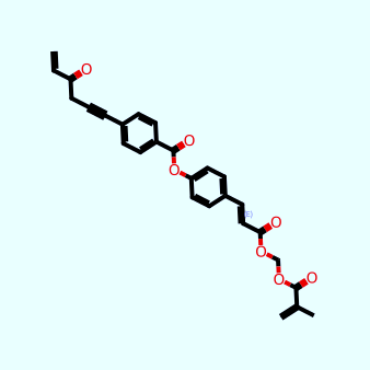 C=CC(=O)CC#Cc1ccc(C(=O)Oc2ccc(/C=C/C(=O)OCOC(=O)C(=C)C)cc2)cc1